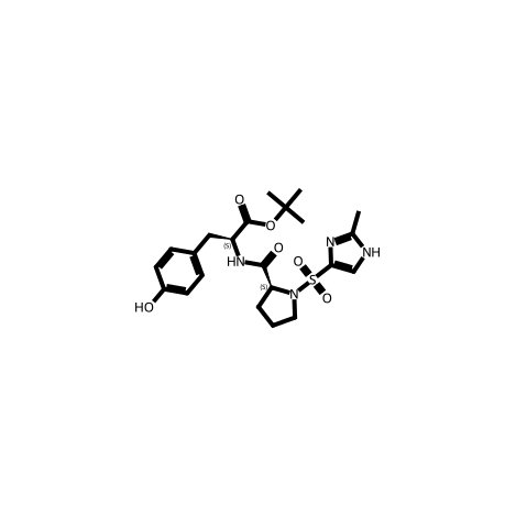 Cc1nc(S(=O)(=O)N2CCC[C@H]2C(=O)N[C@@H](Cc2ccc(O)cc2)C(=O)OC(C)(C)C)c[nH]1